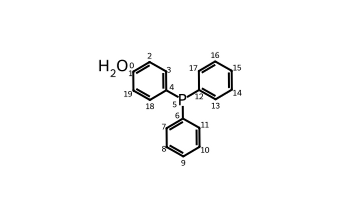 O.c1ccc(P(c2ccccc2)c2ccccc2)cc1